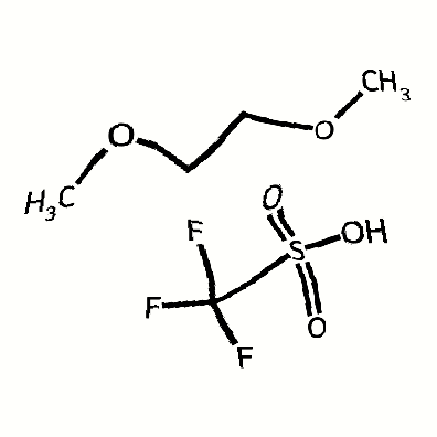 COCCOC.O=S(=O)(O)C(F)(F)F